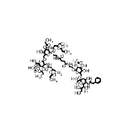 CCC(=O)O[C@H](CC)CC(=O)NC1[C@H](OCCNC(=O)CCC(=O)NCCO[C@@H]2OC(CO[C@]3(C(=O)O)C[C@@H](O)[C@@H](NC(=O)Cc4ccccc4)C([C@H](O)[C@H](O)CO)O3)[C@H](O)[C@H](O)C2NC(C)=O)OC(CO[C@@H]2OC(CO)[C@@H](OP(=O)(O)O)[C@H](OC(=O)CC)C2NC(=O)C[C@@H](CC)OC(=O)CC)[C@@H](O)[C@@H]1OC(=O)CC